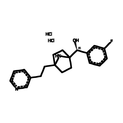 Cl.Cl.O[C@H](c1cccc(F)c1)C12CCC(CCc3cccnc3)(CC1)N2